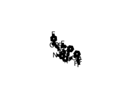 C[C@H](Cc1cc(C#N)c2c(c1)CCN2CCCOC(=O)c1ccc(F)cc1)N(CCOc1ccccc1OCC(F)(F)F)CCOc1ccccc1OCC(F)(F)F